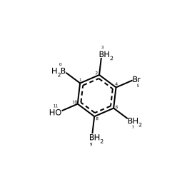 Bc1c(B)c(Br)c(B)c(B)c1O